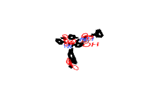 CC(=O)Oc1ccc(C[C@H](NC(=O)OCc2ccccc2)C(=O)c2ccc(O)c(Br)c2C(=O)[C@H](Cc2ccc(OC(C)=O)cc2)NC(=O)OCc2ccccc2)cc1